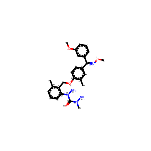 CO/N=C(\c1cccc(OC)c1)c1ccc(OCc2c(C)cccc2N(N)C(=O)N(C)N)c(C)c1